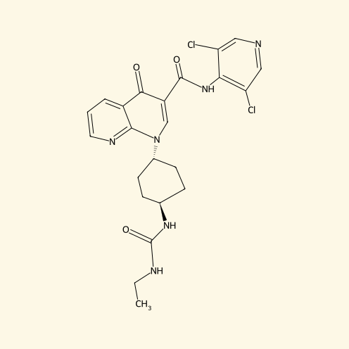 CCNC(=O)N[C@H]1CC[C@H](n2cc(C(=O)Nc3c(Cl)cncc3Cl)c(=O)c3cccnc32)CC1